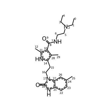 CCN(CC)CCNC(=O)c1c(C)[nH]c(CCn2c(=O)[nH]c3ccc(C)cc32)c1C